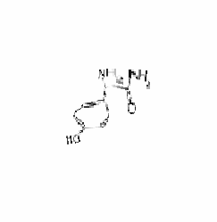 NC(=O)C(N)c1ccc(O)cc1